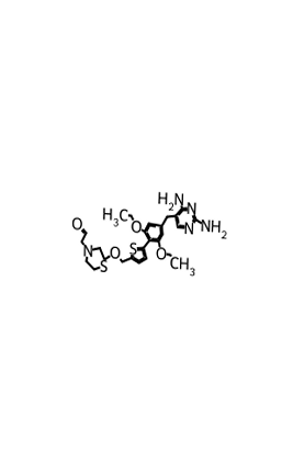 CCOc1cc(Cc2cnc(N)nc2N)cc(OCC)c1-c1ccc(COC2CN(CC=O)CCS2)s1